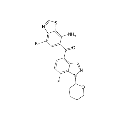 Nc1c(C(=O)c2ccc(F)c3c2cnn3C2CCCCO2)cc(Br)c2ncsc12